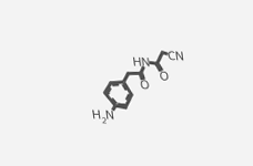 N#CCC(=O)NC(=O)Cc1ccc(N)cc1